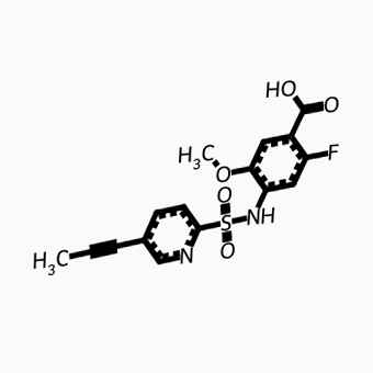 CC#Cc1ccc(S(=O)(=O)Nc2cc(F)c(C(=O)O)cc2OC)nc1